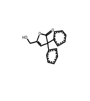 O=C1OC(CO)=CC1(c1ccccc1)c1ccccc1